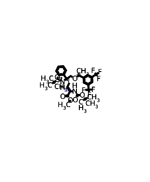 COC(=O)/C(=C/C[C@](CO[C@H](C)c1cc(C(F)(F)F)cc(C(F)(F)F)c1)(N[S@+]([O-])C(C)(C)C)c1ccccc1)NC(=O)OC(C)(C)C